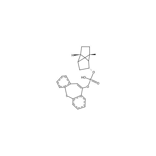 C[C@@]12CC[C@H]3C4C[C@@H](OP(=O)(O)OC5=Cc6ccccc6Sc6ccccc65)C1C432